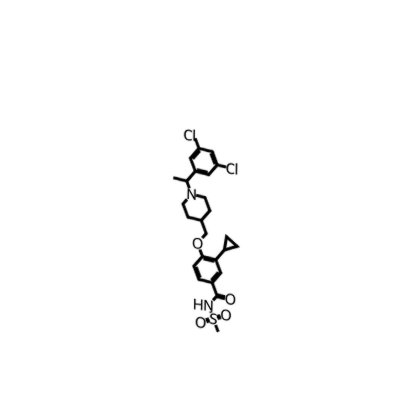 CC(c1cc(Cl)cc(Cl)c1)N1CCC(COc2ccc(C(=O)NS(C)(=O)=O)cc2C2CC2)CC1